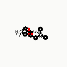 CC(C)(C)c1ccc2c(c1)C13c4cc(ccc4-2)C(C)(C)c2ccc(c1c2)-c1cccc(-c2cccc(-c4cccc(-c5nc(-c6ccccc6)nc(-c6ccccc6)n5)c4)c2)c13